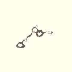 O=C(O)c1ccc2c(c1)OCCN2CCOCc1ccccc1